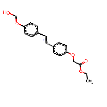 CCOC(=O)COc1ccc(/C=C/c2ccc(OCO)cc2)cc1